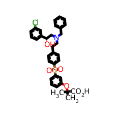 CC(C)(Oc1cccc(S(=O)(=O)c2ccc(CCN(Cc3ccccc3)C[C@H](O)c3cccc(Cl)c3)cc2)c1)C(=O)O